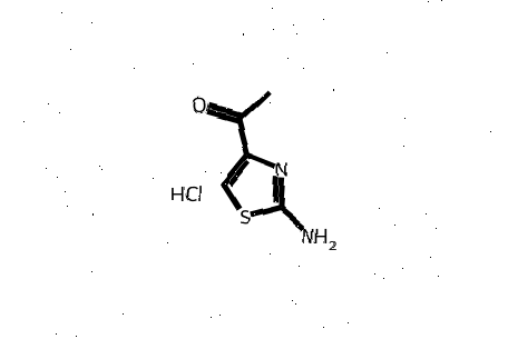 CC(=O)c1csc(N)n1.Cl